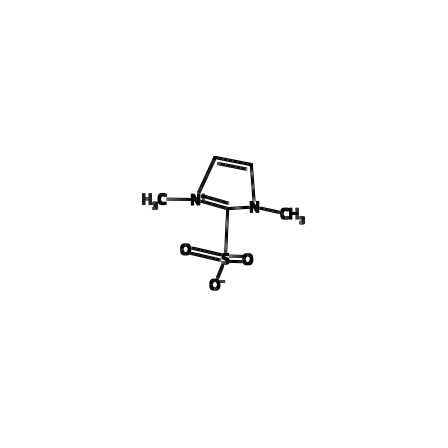 Cn1cc[n+](C)c1S(=O)(=O)[O-]